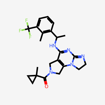 Cc1c(C(C)NC2=NC3=NCCN3C3=C2CN(C(=O)C2(C)CC2)C3)cccc1C(F)(F)F